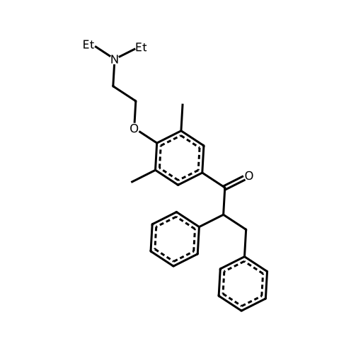 CCN(CC)CCOc1c(C)cc(C(=O)C(Cc2ccccc2)c2ccccc2)cc1C